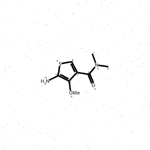 COc1c(C(=O)N(C)C)csc1N